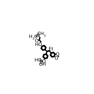 CCC(=C(c1ccc(OCC(O)CN(C)C)cc1)c1ccc(OP(O)O)cc1)c1ccc2c(c1)OCO2